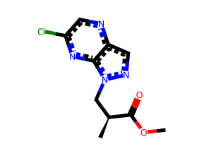 COC(=O)[C@@H](C)Cn1ncc2ncc(Cl)nc21